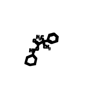 CC(C)(C(=O)ONC1CCCCC1)c1ccccc1